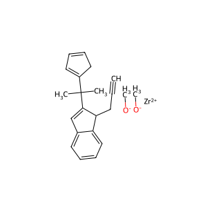 C#CCC1C(C(C)(C)C2=CC=CC2)=Cc2ccccc21.C[O-].C[O-].[Zr+2]